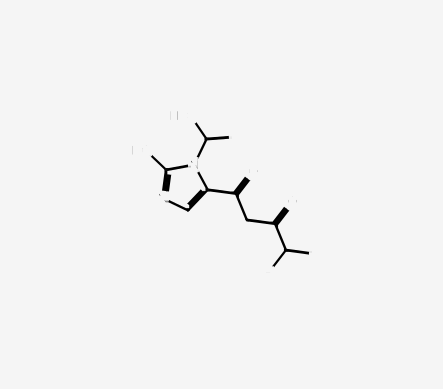 Cc1ncc(C(=O)CC(=O)C(F)F)n1C(C)C